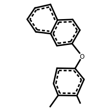 Cc1ccc(Oc2ccc3ccccc3c2)cc1C